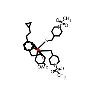 COC1CCC2(CC1)Cc1ccc(CCC3CC3)cc1C21N=C(SCC2CCN(S(C)(=O)=O)CC2)N(CC2CCN(S(C)(=O)=O)CC2)C1=O